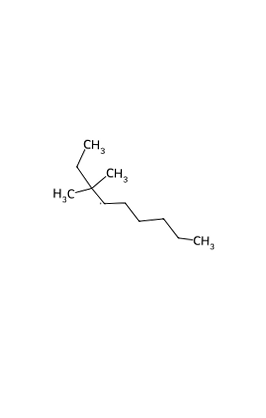 CCCCC[CH]C(C)(C)CC